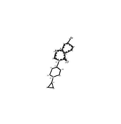 O=c1c2ccc(Br)cc2ncn1C1CCN(C2CC2)CC1